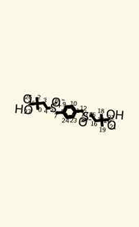 CC(C)(CC[S+]([O-])Cc1ccc(C[S+]([O-])CCC(C)(C)C(=O)O)cc1)C(=O)O